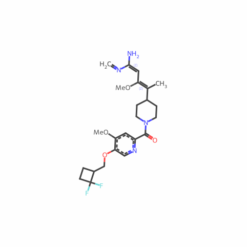 C=N/C(N)=C\C(OC)=C(/C)C1CCN(C(=O)c2cc(OC)c(OCC3CCC3(F)F)cn2)CC1